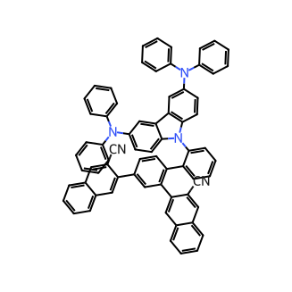 N#Cc1cc2ccccc2cc1-c1ccc(-c2ccccc2-n2c3ccc(N(c4ccccc4)c4ccccc4)cc3c3cc(N(c4ccccc4)c4ccccc4)ccc32)c(-c2cc3ccccc3cc2C#N)c1